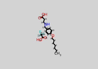 CCCCCCCOc1ccc(CNCCC(=O)O)cc1.O=C(O)C(F)(F)F